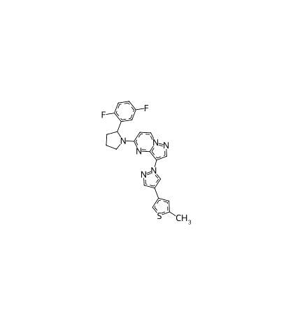 Cc1cc(-c2cnn(-c3cnn4ccc(N5CCCC5c5cc(F)ccc5F)nc34)c2)cs1